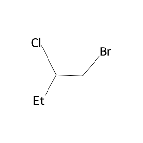 CCC(Cl)CBr